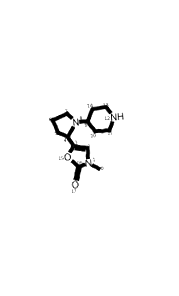 Cn1cc(C2CCCN2C2CCNCC2)oc1=O